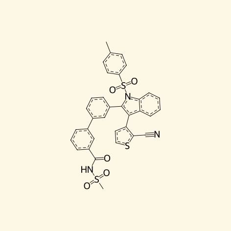 Cc1ccc(S(=O)(=O)n2c(-c3cccc(-c4cccc(C(=O)NS(C)(=O)=O)c4)c3)c(-c3ccsc3C#N)c3ccccc32)cc1